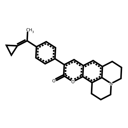 CC(=C1CC1)c1ccc(-c2cc3cc4c5c(c3oc2=O)CCCN5CCC4)cc1